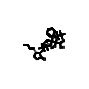 CC/C=C/[C@H]1CCC(=O)[C@@H]1CC=C=CC([16O][Si](C)(C)C(C)(C)C)([16O][Si](C)(C)C(C)(C)C)C(OC)(Oc1ccccc1)C(=O)O